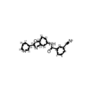 N#Cc1cccc(C(=O)Nc2ccc3oc(-c4cccnc4)nc3c2)c1